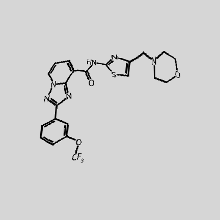 O=C(Nc1nc(CN2CCOCC2)cs1)c1cccn2nc(-c3cccc(OC(F)(F)F)c3)nc12